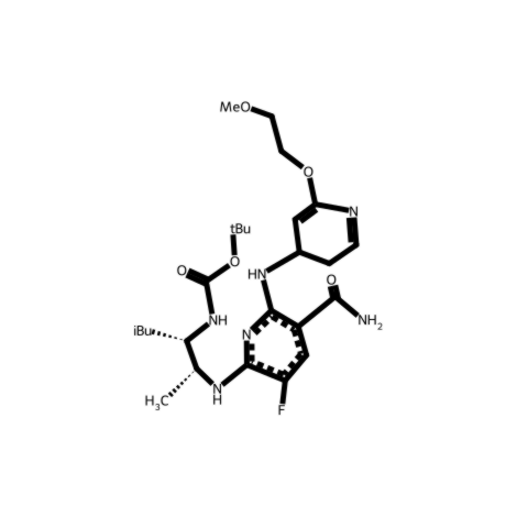 CCC(C)[C@H](NC(=O)OC(C)(C)C)[C@@H](C)Nc1nc(NC2C=C(OCCOC)N=CC2)c(C(N)=O)cc1F